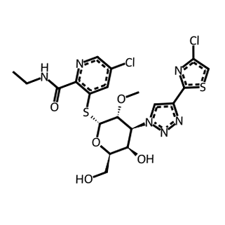 CCNC(=O)c1ncc(Cl)cc1S[C@H]1O[C@H](CO)[C@H](O)[C@H](n2cc(-c3nc(Cl)cs3)nn2)[C@H]1OC